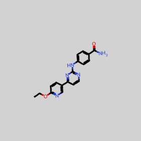 CCOc1ccc(-c2ccnc(Nc3ccc(C(N)=O)cc3)n2)cn1